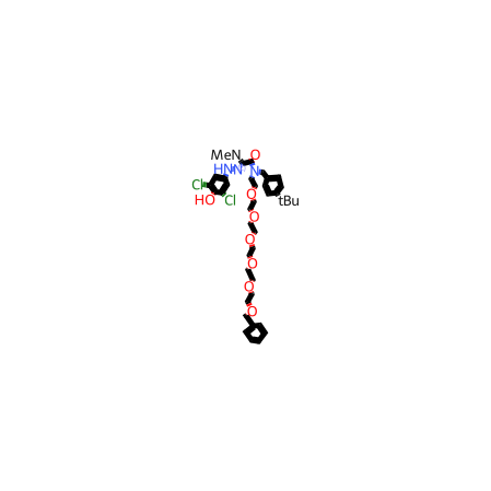 CN/C(=N\Nc1cc(Cl)c(O)c(Cl)c1)C(=O)N(CCOCCOCCOCCOCCOCCOCc1ccccc1)Cc1ccc(C(C)(C)C)cc1